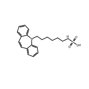 O=S(=O)(O)NCCCCCCN1c2ccccc2C=Cc2ccccc21